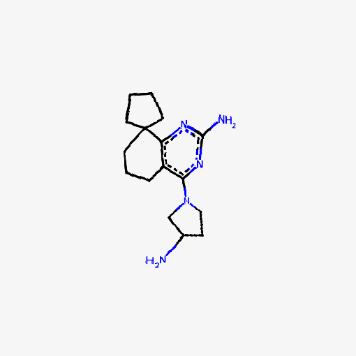 Nc1nc(N2CCC(N)C2)c2c(n1)C1(CCCC1)CCC2